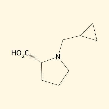 O=C(O)[C@H]1CCCN1CC1CC1